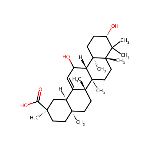 CC1(C)[C@@H](O)CC[C@]2(C)[C@H]3C(O)C=C4[C@@H]5C[C@](C)(C(=O)O)CC[C@]5(C)CC[C@@]4(C)[C@]3(C)CC[C@@]12C